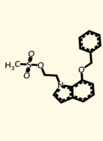 CS(=O)(=O)OCCn1ccc2cccc(OCc3ccccc3)c21